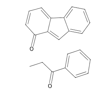 CCC(=O)c1ccccc1.O=C1C=CC=C2C1=Cc1ccccc12